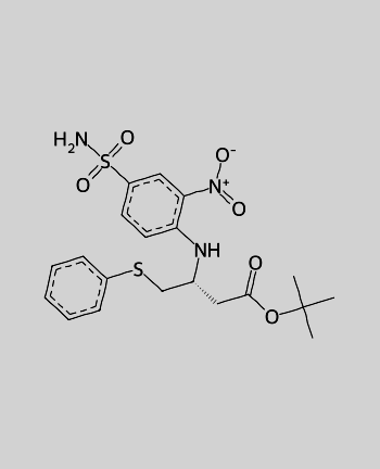 CC(C)(C)OC(=O)C[C@H](CSc1ccccc1)Nc1ccc(S(N)(=O)=O)cc1[N+](=O)[O-]